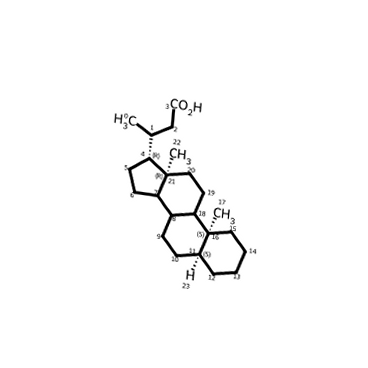 CC(CC(=O)O)[C@H]1CCC2C3CC[C@@H]4CCCC[C@]4(C)C3CC[C@@]21C